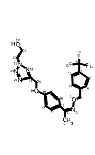 CC(=NOCc1ccc(C(F)(F)F)cc1)c1ccc(OCc2nnn(CCO)n2)cc1